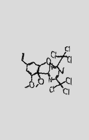 C=CC1=CC(OC)C(OC)(c2nc(C(Cl)(Cl)Cl)nc(C(Cl)(Cl)Cl)n2)C(OC)=C1